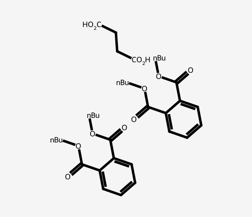 CCCCOC(=O)c1ccccc1C(=O)OCCCC.CCCCOC(=O)c1ccccc1C(=O)OCCCC.O=C(O)CCC(=O)O